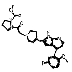 COC(=O)[C@@H]1CCCN1C(=O)CN1CC=C(c2cc3c(-c4cc(F)ccc4OC)ccnc3[nH]2)CC1